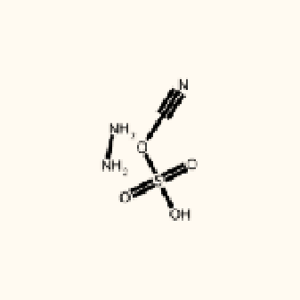 N#COS(=O)(=O)O.NN